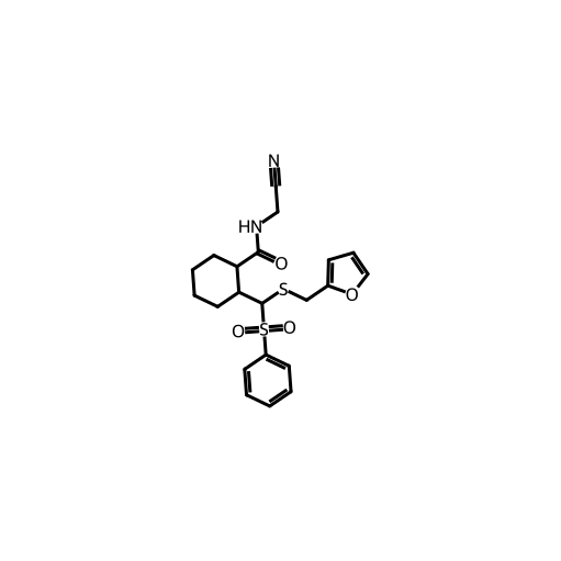 N#CCNC(=O)C1CCCCC1C(SCc1ccco1)S(=O)(=O)c1ccccc1